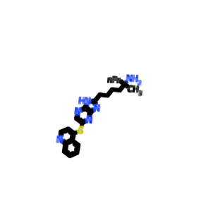 CCCC(C)(N)CCCCc1nc2nc(Sc3ccnc4ccccc34)cnc2[nH]1